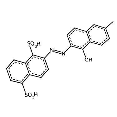 Cc1ccc2c(O)c(N=Nc3ccc4c(S(=O)(=O)O)cccc4c3S(=O)(=O)O)ccc2c1